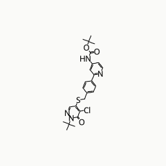 CC(C)(C)OC(=O)Nc1ccnc(-c2ccc(CSc3cnn(C(C)(C)C)c(=O)c3Cl)cc2)c1